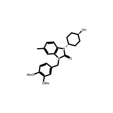 COc1ccc(Cn2c(=O)n([C@H]3CC[C@H](O)CC3)c3ccc(C)cc32)cc1OC